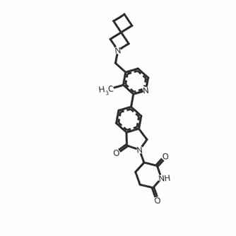 Cc1c(CN2CC3(CCC3)C2)ccnc1-c1ccc2c(c1)CN(C1CCC(=O)NC1=O)C2=O